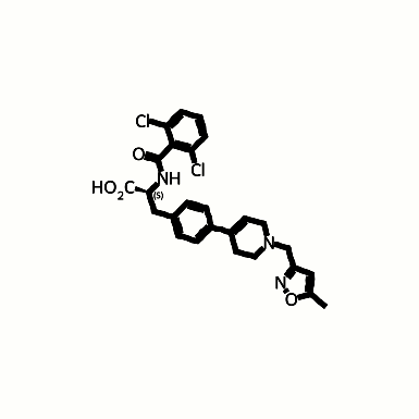 Cc1cc(CN2CC=C(c3ccc(C[C@H](NC(=O)c4c(Cl)cccc4Cl)C(=O)O)cc3)CC2)no1